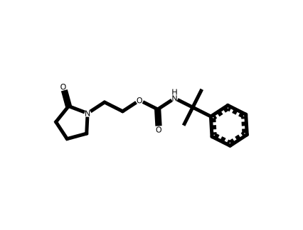 CC(C)(NC(=O)OCCN1CCCC1=O)c1ccccc1